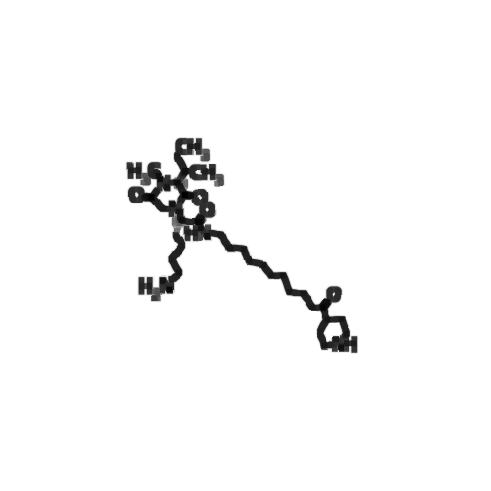 CCC(C)[C@H]1C(=O)N([C@@H](CCCCN)C(=O)NCCCCCCCCCCC(=O)C2CCNCC2)CC(=O)N1C